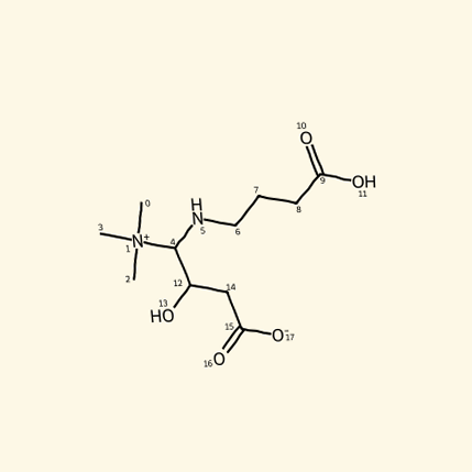 C[N+](C)(C)C(NCCCC(=O)O)C(O)CC(=O)[O-]